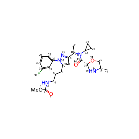 COC(=O)NCCCc1cc([C@@H](C)N(C(=O)[C@H]2CN[C@@H](C)CO2)C2CC2)nn1-c1cccc(F)c1